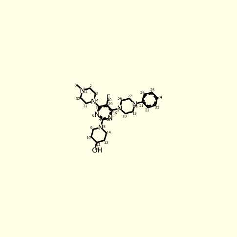 CN1CCN(c2nc(N3CCC(O)CC3)nc(N3CCN(c4ccccc4)CC3)c2F)CC1